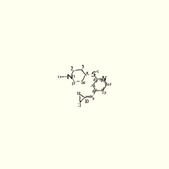 CN1CCC(Sc2cc(C=C3CC3)ccn2)CC1